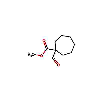 COC(=O)C1(C=O)CCCCCC1